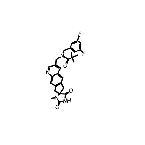 CN1C(=O)NC(=O)C12Cc1cc3cc(CN(Cc4cc(F)cc(F)c4)C(=O)C(C)(C)C)cnc3cc1C2